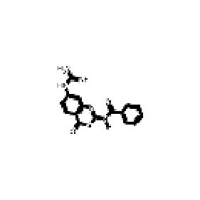 CN(C(=O)c1ccccc1)c1nc2cc(NC(=N)N)ccc2c(=O)s1